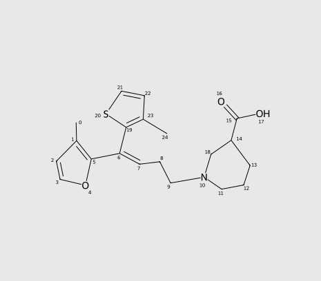 Cc1ccoc1/C(=C/CCN1CCCC(C(=O)O)C1)c1sccc1C